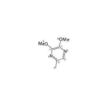 COc1ncc(C)nc1OC